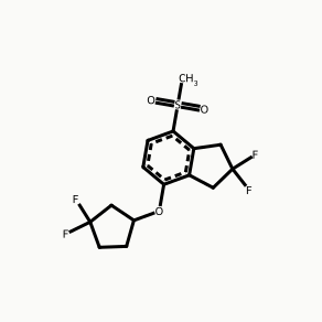 CS(=O)(=O)c1ccc(OC2CCC(F)(F)C2)c2c1CC(F)(F)C2